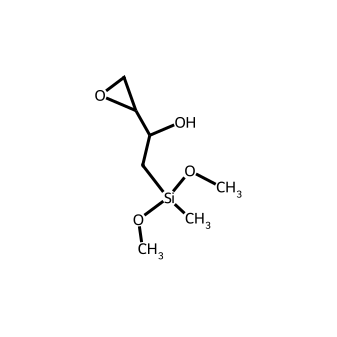 CO[Si](C)(CC(O)C1CO1)OC